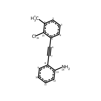 Cc1cccc(C#Cc2ccccc2N)c1Cl